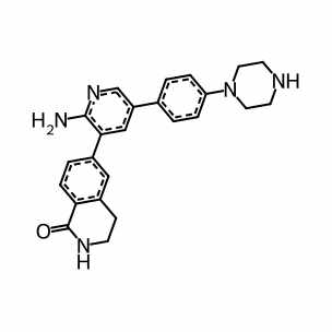 Nc1ncc(-c2ccc(N3CCNCC3)cc2)cc1-c1ccc2c(c1)CCNC2=O